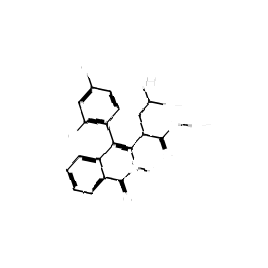 COC(=O)C(CC(C)C)c1c(-c2ccc(C)cc2C)c2ccccc2c(=O)n1C